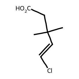 CC(C)(C=CCl)CC(=O)O